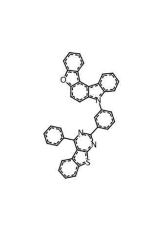 c1ccc(-c2nc(-c3cccc(-n4c5ccccc5c5c6c(ccc54)oc4ccccc46)c3)nc3sc4ccccc4c23)cc1